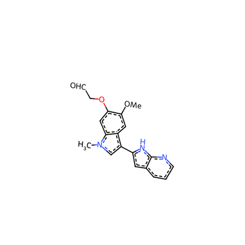 COc1cc2c(-c3cc4cccnc4[nH]3)cn(C)c2cc1OCC=O